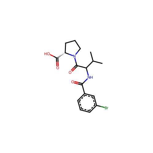 CC(C)C(NC(=O)c1cccc(Br)c1)C(=O)N1CCC[C@H]1C(=O)O